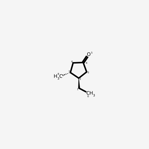 CC[C@@H]1CC(=O)C[C@H]1C